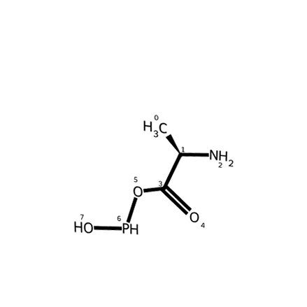 C[C@@H](N)C(=O)OPO